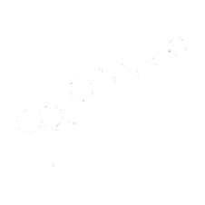 COc1cc(NC(=S)NC(=O)/C=C/c2ccco2)ccc1-c1cc2ccccc2n(CCO)c1=O